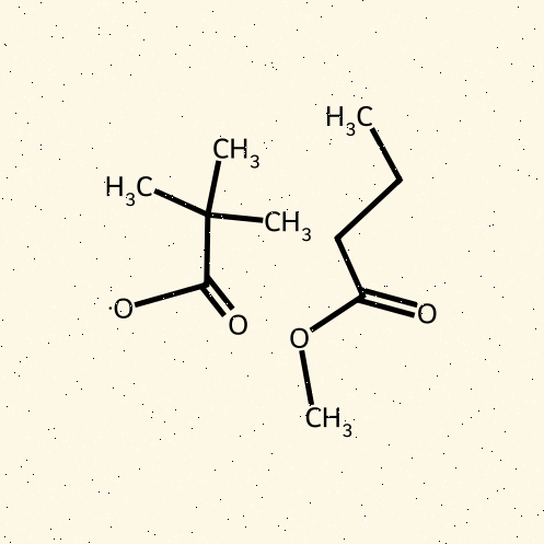 CC(C)(C)C([O])=O.CCCC(=O)OC